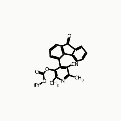 Cc1nc(C)c(OC(=O)OC(C)C)c(-c2cccc3c2-c2ccccc2C3=O)c1C#N